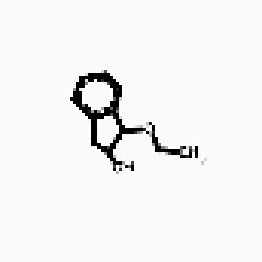 CCOC1c2ccccc2CC1O